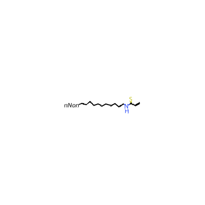 C=CC(=S)NCCCCCCCCCCCCCCCCCCCC